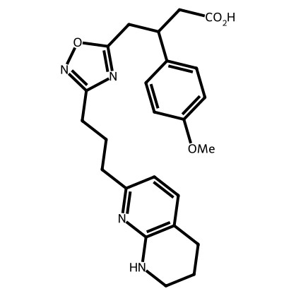 COc1ccc(C(CC(=O)O)Cc2nc(CCCc3ccc4c(n3)NCCC4)no2)cc1